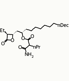 CCCCCCCCCCCCCCCCC[C@@H](C[C@@H]1OC(=O)[C@H]1CC)OC(=O)C(CCC)C(N)=O